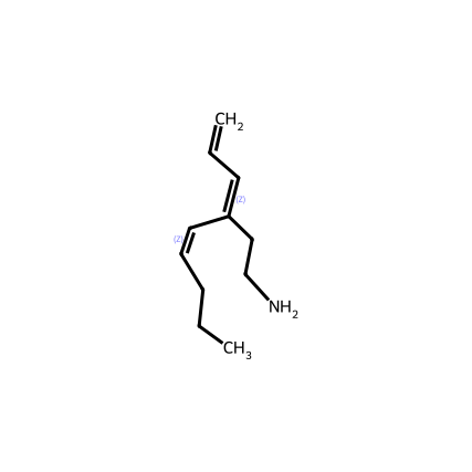 C=C/C=C(\C=C/CCC)CCN